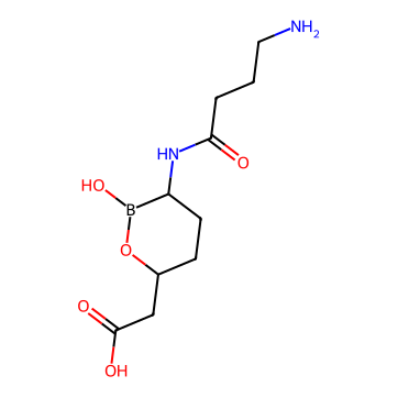 NCCCC(=O)NC1CCC(CC(=O)O)OB1O